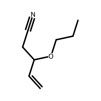 C=CC(CC#N)OCCC